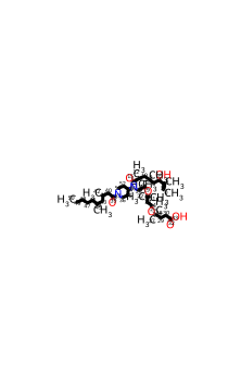 CC=C(C)C(O)CC(C)(C)CC(C)(C)C(=O)N(CCOC(C)(C)CCOC(C)(C)CCC(=O)O)C1CCN(C(=O)CC(C)CC(C)CCCCC)CC1